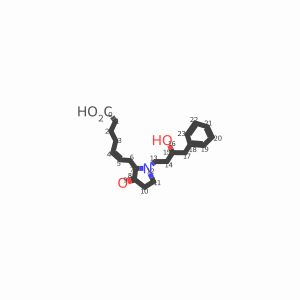 O=C(O)CCC/C=C\CC1C(=O)CCN1CCC(O)Cc1ccccc1